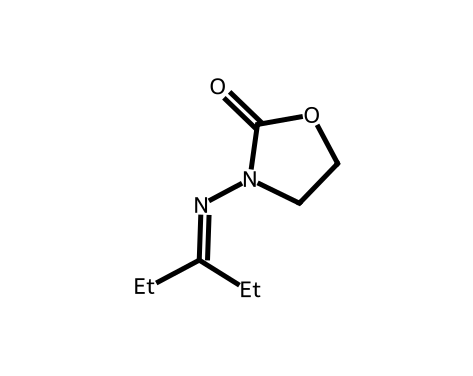 CCC(CC)=NN1CCOC1=O